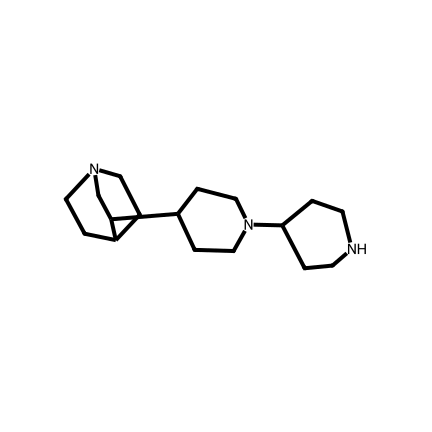 C1CC(N2CCC(C3CN4CCC3CC4)CC2)CCN1